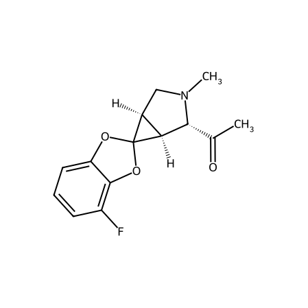 CC(=O)[C@@H]1[C@@H]2[C@H](CN1C)C21Oc2cccc(F)c2O1